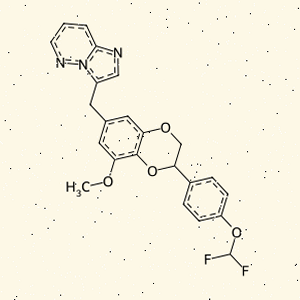 COc1cc(Cc2cnc3cccnn23)cc2c1OC(c1ccc(OC(F)F)cc1)CO2